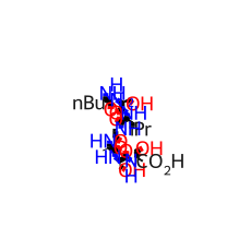 CCCC[C@H](N)C(=O)N[C@@H](CO)C(=O)N[C@@H](CC(C)C)C(=O)NCC(=O)N[C@@H](C)C(=O)N[C@@H](CO)C(=O)N[C@@H](CO)C(=O)O